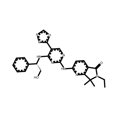 CCN1C(=O)c2ccc(Nc3ncc(-c4nnco4)c(N[C@H](CO)c4ccccc4)n3)nc2C1(C)C